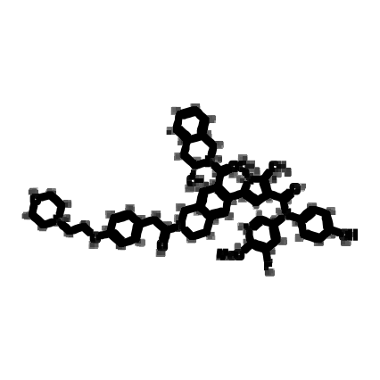 COc1ncc(N(C(=O)c2cc(-c3cc4c(cc3C(=O)N3Cc5ccccc5C[C@H]3C)CN(C(=O)Cc3ccc(OCCN5CCOCC5)cc3)CC4)n(C)c2C)c2ccc(O)cc2)cc1F